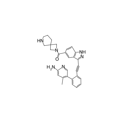 Cc1cc(N)ncc1-c1ccccc1C#Cc1n[nH]c2ccc(C(=O)N3CC4(CCCNC4)C3)cc12